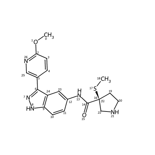 COc1ccc(-c2n[nH]c3ccc(NC(=O)[C@]4(SC)CCNC4)cc23)cn1